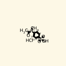 CC(=O)N(C)c1ccc(S(=O)(=O)O)cc1.Cl